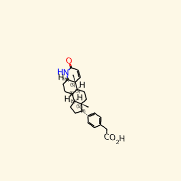 C[C@]12C=CC(=O)N[C@@H]1CC[C@@H]1[C@@H]2CC[C@]2(C)[C@H](c3ccc(CC(=O)O)cc3)CC[C@@H]12